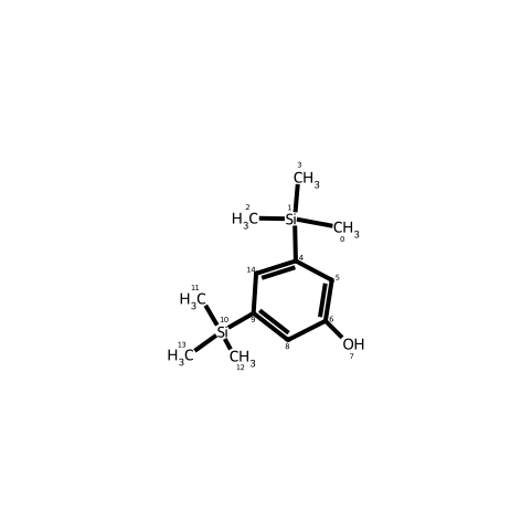 C[Si](C)(C)c1cc(O)cc([Si](C)(C)C)c1